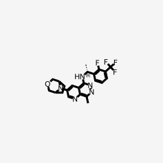 Cc1nnc(N[C@H](C)c2cccc(C(F)(F)F)c2F)c2cc(N3C4CCC3COC4)cnc12